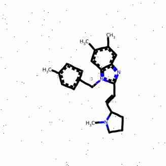 Cc1ccc(Cn2c(/C=C/C3CCCN3C)nc3cc(C)c(C)cc32)cc1